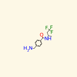 CC(CC(F)(F)F)NC(=O)c1ccc(CN)cc1